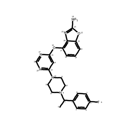 CC(c1ccc(F)cc1)N1CCN(c2cc(Oc3cccc4oc(N)nc34)ncn2)CC1